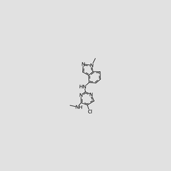 CNc1nc(Nc2cccc3c2cnn3C)ncc1Cl